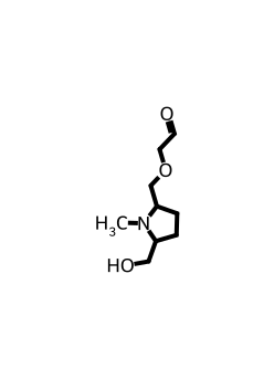 CN1C(CO)CCC1COCC=O